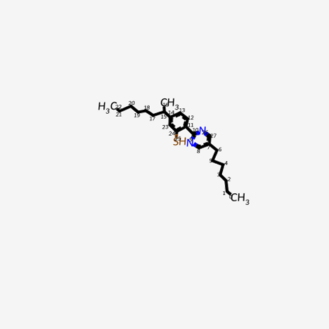 CCCCCCCc1cnc(-c2ccc(C(C)CCCCCC)cc2S)nc1